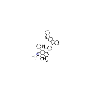 C=Cc1c(/C=C\C)c2c3ccccc3nc(-c3cccc(-n4c5ccccc5c5cc6c(cc54)sc4ccccc46)c3)c2c2ccccc12